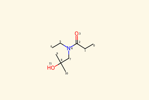 CCC(=O)N(CC)CC(C)(C)O